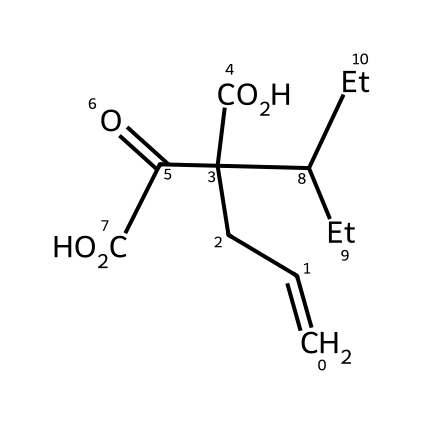 C=CCC(C(=O)O)(C(=O)C(=O)O)C(CC)CC